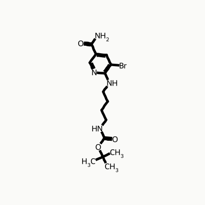 CC(C)(C)OC(=O)NCCCCNc1ncc(C(N)=O)cc1Br